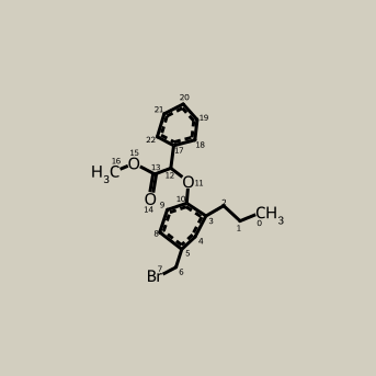 CCCc1cc(CBr)ccc1OC(C(=O)OC)c1ccccc1